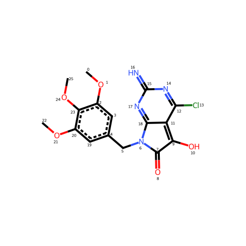 COc1cc(CN2C(=O)C(O)=C3C(Cl)=NC(=N)N=C32)cc(OC)c1OC